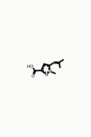 CC(C)=Cc1cc(C(=O)O)nn1C